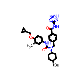 CC(C)(C)C1CCC(N(Cc2ccc(C(=O)Nc3nn[nH]n3)cc2)C(=O)Nc2ccc(OCC3CC3)c(C(F)(F)F)c2)CC1